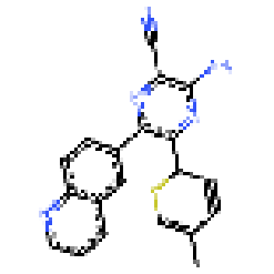 CC1=CSC(c2nc(N)c(C#N)nc2-c2ccc3ncccc3c2)C#C1